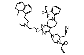 C=CC(=O)N1CCN(c2nc(OCCN(CC)CCc3cccc4c3C(C)CC=C4)nc3c2CCN(c2ccccc2C(F)(F)F)C3)CC1CC#N